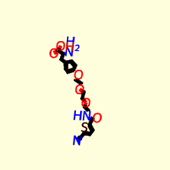 N#Cc1ccc(C(=O)NCCOCCOCCOc2ccc(CC(N)C(=O)O)cc2)s1